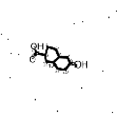 O=C(O)C1CCC2CC(O)CCC2C1